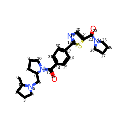 CC1CCCN1CC1CCCN1C(=O)c1ccc(-c2ncc(C(=O)N3CCCC3)s2)cc1